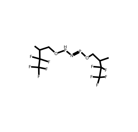 CC(COP=NPOCC(C)C(F)(F)C(F)(F)F)C(F)(F)C(F)(F)F